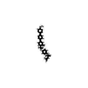 CCCC1CC=C(c2ccc(-c3ccc(C(F)(F)Oc4ccc(OC(F)(F)C=C(F)F)cc4)c(F)c3)cc2)CC1